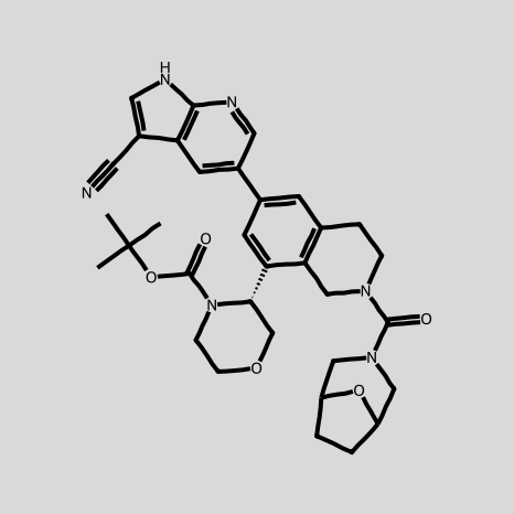 CC(C)(C)OC(=O)N1CCOC[C@H]1c1cc(-c2cnc3[nH]cc(C#N)c3c2)cc2c1CN(C(=O)N1CC3CCC(C1)O3)CC2